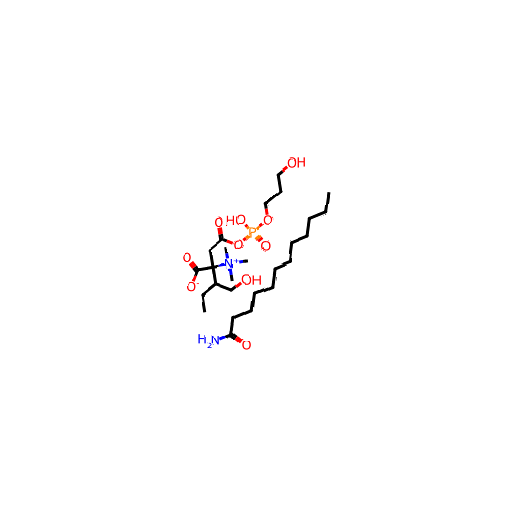 CCC(CO)C(CC(=O)OP(=O)(O)OCCCO)(C(=O)[O-])[N+](C)(C)C.CCCCCCCCCCCC(N)=O